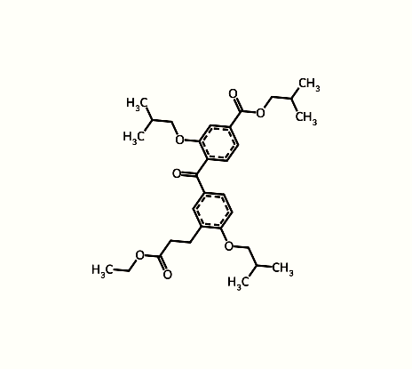 CCOC(=O)CCc1cc(C(=O)c2ccc(C(=O)OCC(C)C)cc2OCC(C)C)ccc1OCC(C)C